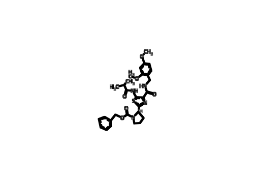 COc1ccc(CNC(=O)c2nc([C@H]3CCCN3C(=O)OCc3ccccc3)sc2NC(=O)C(C)C)c(OC)c1